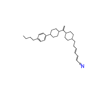 C=C(C1CCC(CCC=CC=CC#N)CC1)C1CCC(c2ccc(CCCC)cc2)CC1